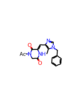 CC(=O)N1CC(=O)NC(=Cc2ncn(Cc3ccccc3)c2C)C1=O